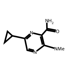 CNc1ncc(C2CC2)nc1C(N)=O